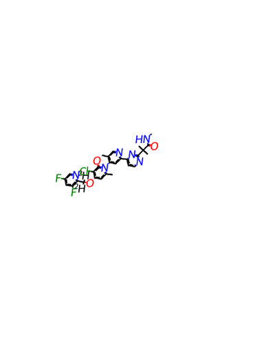 [2H]C([2H])(Oc1cc(C)n(-c2cc(-c3ccnc(C(C)(C)C(=O)NC)n3)ncc2C)c(=O)c1Cl)c1ncc(F)cc1F